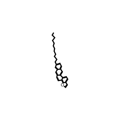 CCCCCCCCCCCCc1ccc2cc3c(ccc4c3ccc3ccoc34)cc2c1